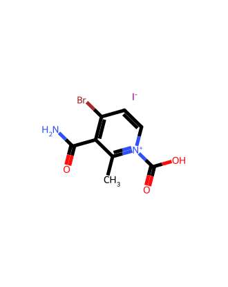 Cc1c(C(N)=O)c(Br)cc[n+]1C(=O)O.[I-]